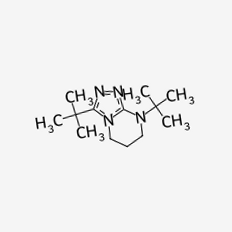 CC(C)(C)c1nnc2n1CCCN2C(C)(C)C